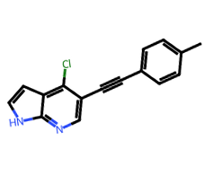 Cc1ccc(C#Cc2cnc3[nH]ccc3c2Cl)cc1